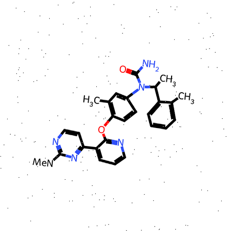 CNc1nccc(-c2cccnc2Oc2ccc(N(C(N)=O)C(C)c3ccccc3C)cc2C)n1